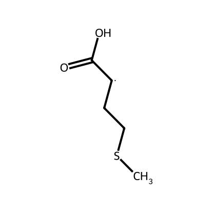 CSCC[CH]C(=O)O